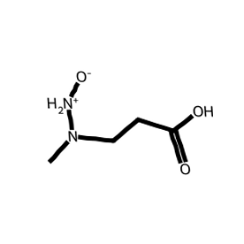 CN(CCC(=O)O)[NH2+][O-]